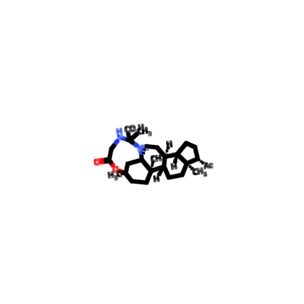 CC(=O)[C@H]1CC[C@H]2[C@@H]3CC[C@@]45C[C@@](C)(CC[C@]4(C)[C@H]3CC[C@]12C)OC(=O)CNC(C)(C(=O)O)N5